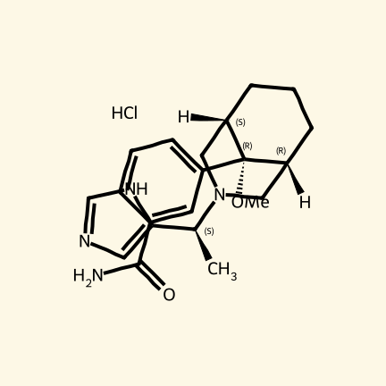 CO[C@@]1(c2cccc(C(N)=O)c2)[C@@H]2CCC[C@H]1CN([C@@H](C)c1cnc[nH]1)C2.Cl